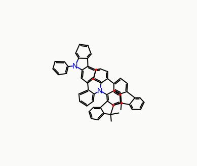 CC1(C)c2ccccc2-c2ccc(-c3ccccc3N(c3ccccc3-c3ccc4c5ccccc5n(-c5ccccc5)c4c3)c3cccc4c3-c3ccccc3C4(C)C)cc21